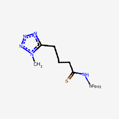 CCCCCNC(=S)CCCc1nnnn1C